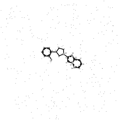 Fc1ccccc1C1CCN(c2cn3ncccc3n2)C1